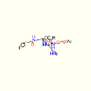 CC(=O)COCCOCCNC(=O)[C@H](CCCCNI)NC(=O)N[C@H](CCCCNC(=O)CCCc1ccc(I)cc1)C(=O)O